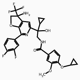 COc1cc(C(=O)NCC(O)(c2cc3c(c(-c4ccc(F)c(F)c4)n2)OCC3(N)C(F)(F)F)C2CC2)ccc1OC1CC1